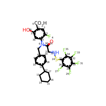 O=C(O)c1cc(F)c(N(Cc2ccc(C3CCCCC3)cc2)C(=O)CNSc2c(F)c(F)c(F)c(F)c2F)cc1O